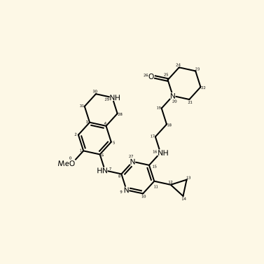 COc1cc2c(cc1Nc1ncc(C3CC3)c(NCCCN3CCCCC3=O)n1)CNCC2